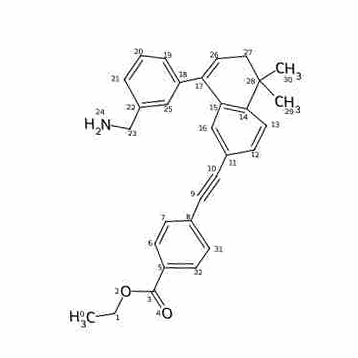 CCOC(=O)c1ccc(C#Cc2ccc3c(c2)C(c2cccc(CN)c2)=CCC3(C)C)cc1